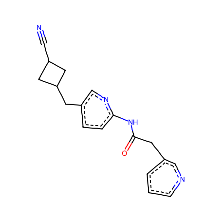 N#CC1CC(Cc2ccc(NC(=O)Cc3cccnc3)nc2)C1